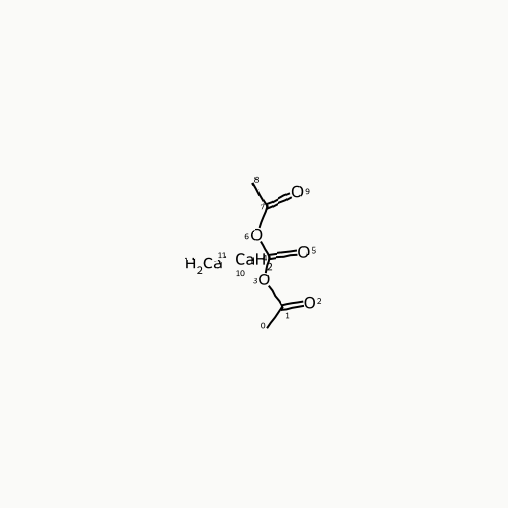 CC(=O)OC(=O)OC(C)=O.[CaH2].[CaH2]